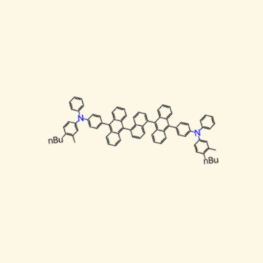 CCCCc1ccc(N(c2ccccc2)c2ccc(-c3c4ccccc4c(-c4cccc5c(-c6c7ccccc7c(-c7ccc(N(c8ccccc8)c8ccc(CCCC)c(C)c8)cc7)c7ccccc67)cccc45)c4ccccc34)cc2)cc1C